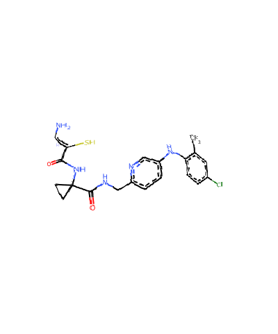 N/C=C(\S)C(=O)NC1(C(=O)NCc2ccc(Nc3ccc(Cl)cc3C(F)(F)F)cn2)CC1